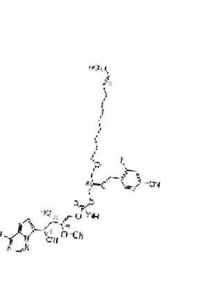 CCCCCCCC/C=C/CCCCCCCCOC[C@H](COP(=O)(O)OC[C@@H](OC#N)[C@@H](O)[C@@H](O)c1ccc2c(N)ncnn12)OCc1ccc(C#N)cc1F